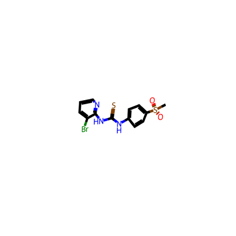 CS(=O)(=O)c1ccc(NC(=S)Nc2ncccc2Br)cc1